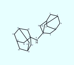 C1C2CC3CC1CC(NC14CC5CC(CC(C5)C1)C4)(C2)C3